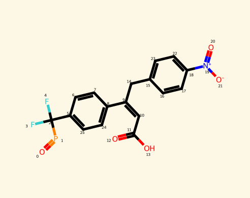 O=PC(F)(F)c1ccc(/C(=C\C(=O)O)Cc2ccc([N+](=O)[O-])cc2)cc1